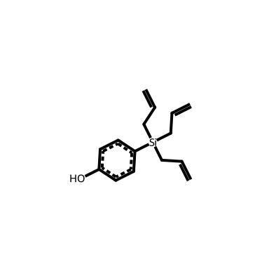 C=CC[Si](CC=C)(CC=C)c1ccc(O)cc1